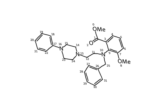 COC(=O)c1cccc(OC)c1N(CCN1CCN(c2ccccc2)CC1)Cc1ccccc1